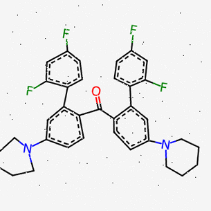 O=C(c1ccc(N2CCCCC2)cc1-c1ccc(F)cc1F)c1ccc(N2CCCCC2)cc1-c1ccc(F)cc1F